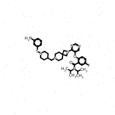 CC(C)N(C(=O)c1cc(F)ccc1Oc1cncnc1N1CC2(CCN(CC3CCN(Sc4cccc(N)c4)CC3)CC2)C1)C(C)C